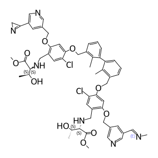 C/N=C/c1cncc(COc2cc(OCc3cccc(-c4cccc(COc5cc(OCc6cncc(C7=NC7)c6)c(CN[C@H](C(=O)OC)[C@H](C)O)cc5Cl)c4C)c3C)c(Cl)cc2CN[C@H](C(=O)OC)[C@H](C)O)c1